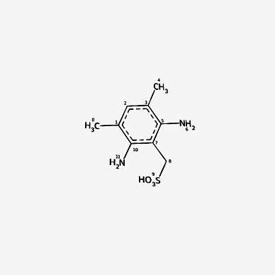 Cc1cc(C)c(N)c(CS(=O)(=O)O)c1N